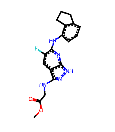 COC(=O)CNc1n[nH]c2nc(Nc3cccc4c3CCC4)c(F)cc12